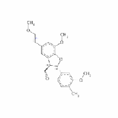 CO/C=C/c1cc(OC)c2c(c1)[C@H](C=O)[C@@H](c1ccc(C)c(OC)c1)O2